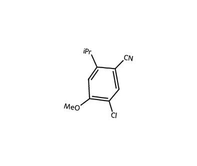 COc1cc(C(C)C)c(C#N)cc1Cl